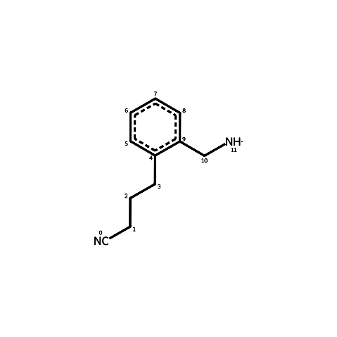 N#CCCCc1ccccc1C[NH]